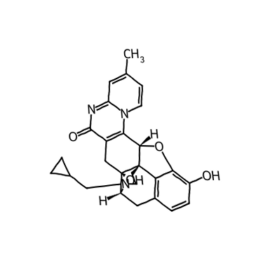 Cc1ccn2c3c(c(=O)nc2c1)C[C@@]1(O)[C@H]2Cc4ccc(O)c5c4[C@@]1(CCN2CC1CC1)[C@H]3O5